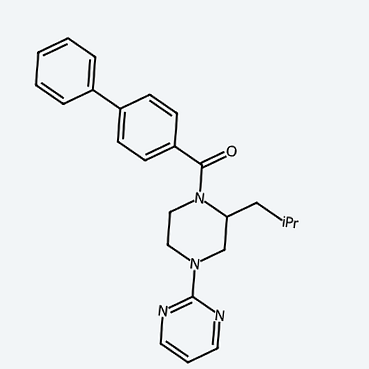 CC(C)CC1CN(c2ncccn2)CCN1C(=O)c1ccc(-c2ccccc2)cc1